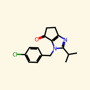 CC(C)c1nc2c(n1Cc1ccc(Cl)cc1)C(=O)CC2